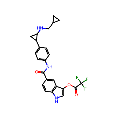 O=C(Nc1ccc(C2CC2NCC2CC2)cc1)c1ccc2[nH]cc(OC(=O)C(F)(F)F)c2c1